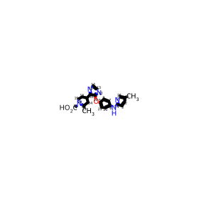 Cc1ccc(Nc2ccc(Oc3nccnc3C3CCN(C(=O)O)C(C)C3)cc2)nc1